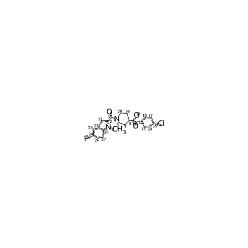 Cn1c(C(=O)N2CCC(S(=O)(=O)c3ccc(Cl)cc3)CC2)cc2cc(F)ccc21